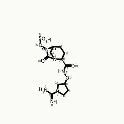 N=C(N)N1CCC(ONC(=O)[C@@H]2CCC3CN2C(=O)N3OS(=O)(=O)O)C1